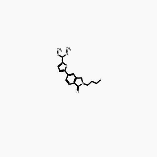 COC(OC)c1ccc(-c2ccc3c(c2)CN(CCCI)C3=O)s1